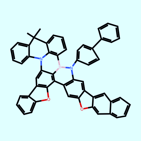 CC1(C)c2ccccc2N2c3cc4c(oc5ccccc54)c4c3B(c3cccc1c32)N(c1ccc(-c2ccccc2)cc1)c1cc2c(cc1-4)oc1cc3ccccc3cc12